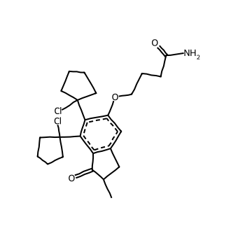 CC1Cc2cc(OCCCC(N)=O)c(C3(Cl)CCCC3)c(C3(Cl)CCCC3)c2C1=O